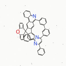 c1ccc(-c2cc(-c3cccc(-c4cccc(-c5nc6ccccc6c6cc7c(cc56)-c5ccccc5C75c6ccccc6Oc6ccccc65)c4)c3)nc(-c3ccccc3)n2)cc1